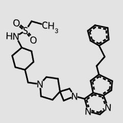 CCS(=O)(=O)NC1CCC(CN2CCC3(CC2)CN(c2ncnc4ccc(CCc5ccccc5)cc24)C3)CC1